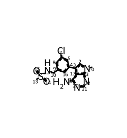 Cn1cc(-c2cc(Cl)cc(CNS(C)(=O)=O)c2)c2c(N)ncnc21